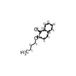 CCCCOn1ccc2ccccc2c1=O